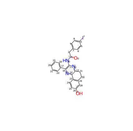 O=C(Cc1ccc(I)cc1)Nc1nc2c(nc1-c1ccccc1)-c1ccc(O)cc1CC2